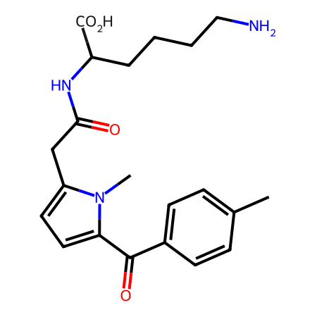 Cc1ccc(C(=O)c2ccc(CC(=O)NC(CCCCN)C(=O)O)n2C)cc1